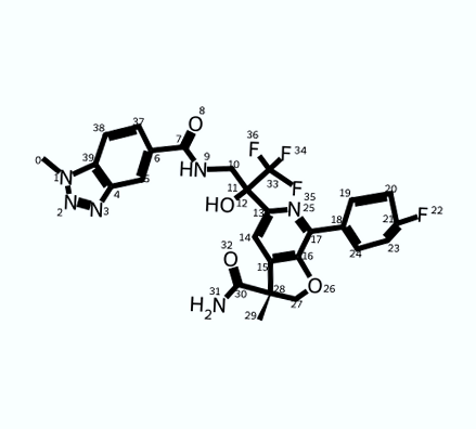 Cn1nnc2cc(C(=O)NCC(O)(c3cc4c(c(-c5ccc(F)cc5)n3)OC[C@]4(C)C(N)=O)C(F)(F)F)ccc21